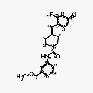 COCc1cc(NC(=O)N2CCC(=Cc3ccc(Cl)cc3F)CC2)ccn1